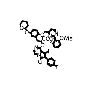 COc1ccccc1-c1nccc(COc2ccc(OC3CCCCO3)cc2CC(Oc2nccn3c(Cl)c(-c4ccc(F)cc4)c(I)c23)C(=O)O)n1